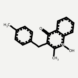 Cc1ccc(Cc2c(C)n(O)c3ccccc3c2=O)cc1